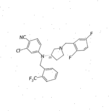 N#Cc1ccc(N(Cc2ccccc2C(F)(F)F)[C@H]2CCN(Cc3cc(F)ccc3F)C2)cc1Cl